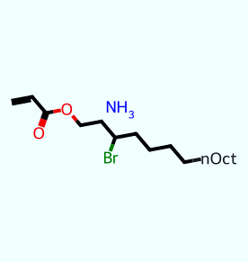 C=CC(=O)OCCC(Br)CCCCCCCCCCCC.N